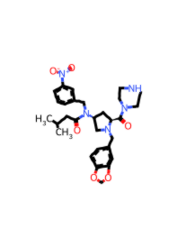 CC(C)CC(=O)N(Cc1cccc([N+](=O)[O-])c1)[C@H]1C[C@@H](C(=O)N2CCNCC2)N(Cc2ccc3c(c2)OCO3)C1